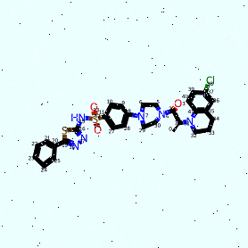 C[C@@H](C(=O)N1CCN(c2ccc(S(=O)(=O)Nc3nnc(-c4ccccc4)s3)cc2)CC1)N1CCCc2cc(Cl)ccc21